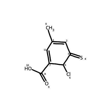 CC1=CC(=S)C(Cl)C(C(=O)O)=C1